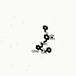 [2H]C([2H])([2H])Oc1cc(CCNC(=O)Cc2cccc(OC)c2C(OCc2ccccc2)OC(C)=O)ccc1OCc1ccccc1